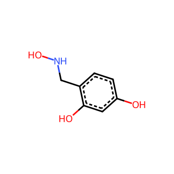 ONCc1ccc(O)cc1O